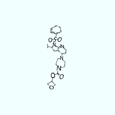 O=C(OC1COC1)N1CCN(c2ccnc3c2cc(I)n3S(=O)(=O)c2ccccc2)CC1